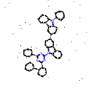 c1ccc(-c2nc(-c3ccccc3-c3ccccc3)nc(-n3c4ccccc4c4cc(-c5ccc6c(c5)c5ccccc5n6-c5ccccc5)ccc43)n2)cc1